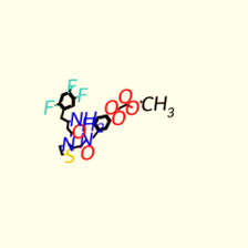 CCOC(=O)C1Oc2ccc(CNC(=O)C3SCCN3C(=O)C[C@H](N)Cc3cc(F)c(F)cc3F)cc2O1